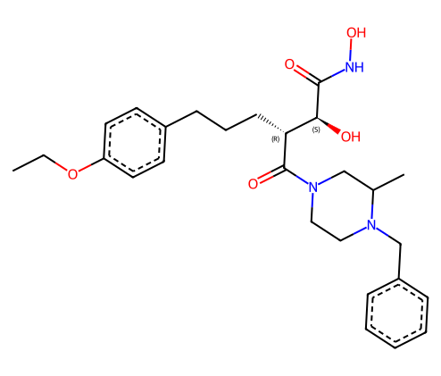 CCOc1ccc(CCC[C@@H](C(=O)N2CCN(Cc3ccccc3)C(C)C2)[C@H](O)C(=O)NO)cc1